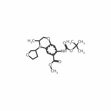 COC(=O)c1cc2c(cc1NC(=O)OC(C)(C)C)OCC(C)N2C1CCOC1